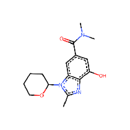 Cc1nc2c(O)cc(C(=O)N(C)C)cc2n1C1CCCCO1